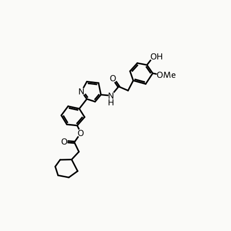 COc1cc(CC(=O)Nc2ccnc(-c3cccc(OC(=O)CC4CCCCC4)c3)c2)ccc1O